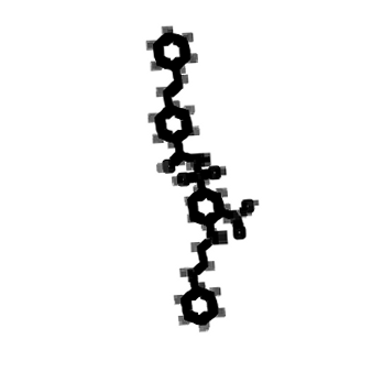 O=C(NS(=O)(=O)c1ccc(NCCSc2ccccc2)c([N+](=O)[O-])c1)c1ccc(C=Cc2ccccc2)cc1